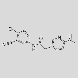 CNc1ccc(CC(=O)Nc2ccc(Cl)c(C#N)c2)cn1